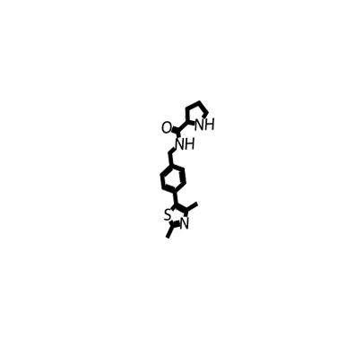 Cc1nc(C)c(-c2ccc(CNC(=O)C3CCCN3)cc2)s1